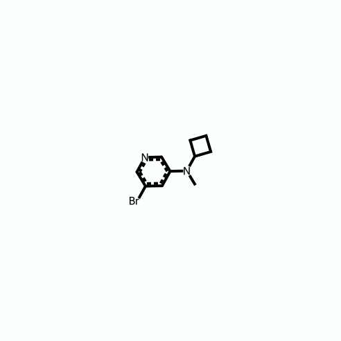 CN(c1cncc(Br)c1)C1CCC1